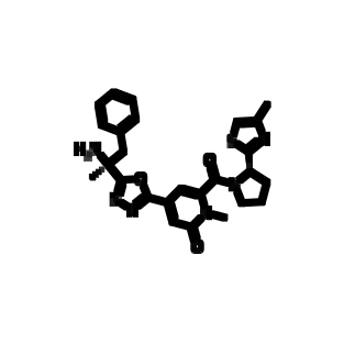 Cc1csc([C@H]2CCCN2C(=O)c2cc(-c3nnc([C@@](C)(N)Cc4ccccc4)o3)cc(=O)n2C)n1